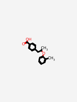 Cc1ccccc1OC(C)Cc1ccc(C(=O)O)cc1